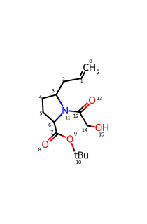 C=CCC1CCC(C(=O)OC(C)(C)C)N1C(=O)CO